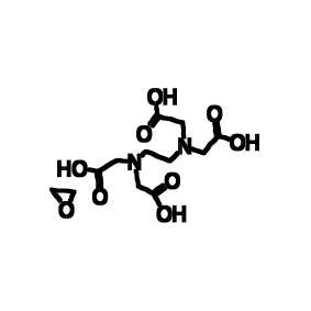 C1CO1.O=C(O)CN(CCN(CC(=O)O)CC(=O)O)CC(=O)O